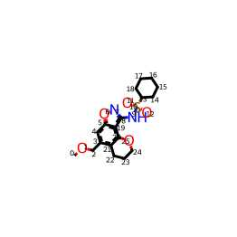 COCc1cc2onc(NS(=O)(=O)C3CCCCC3)c2c2c1CCCO2